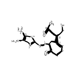 Cc1nc(N=Nc2[c]([Cr])cccc2C(CO)C(=O)O)sc1C